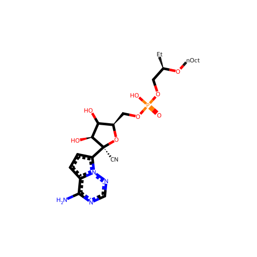 CCCCCCCCO[C@H](CC)COP(=O)(O)OC[C@H]1O[C@@](C#N)(c2ccc3c(N)ncnn23)[C@@H](O)C1O